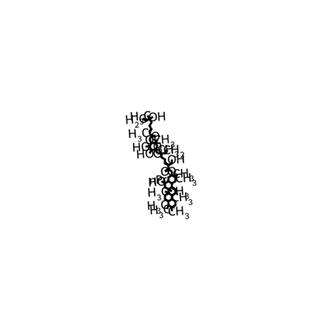 C=CC(C)(O)CC/C=C(\C)C(=O)OC1C(C)OC(O[C@](C)(C=C)CC/C=C(\CO)C(=O)OC2CC3(CCC)C(O)CC4(C)C(=CCC5C6(C)CCC(C)C(C)(C)C6CCC54C)C3CC2(C)C)C(O)C1O